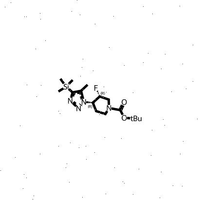 Cc1c([Si](C)(C)C)nnn1[C@@H]1CCN(C(=O)OC(C)(C)C)C[C@H]1F